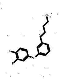 CCCCCc1cccc(Oc2ccc(F)c(F)c2)c1